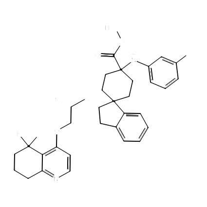 COC(=O)C1(Nc2cccc(Cl)c2)CCC2(CC1)c1ccccc1C[C@@H]2C[C@@H](C)COc1ccnc2c1C(F)(F)CCC2